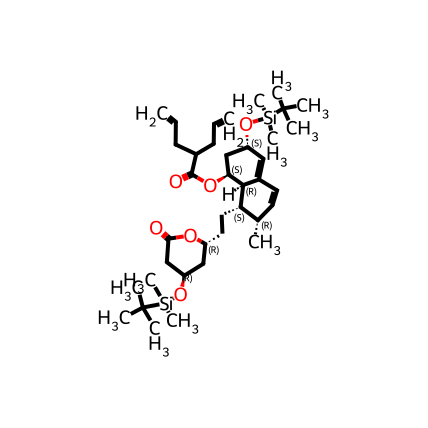 C=CCC(CC=C)C(=O)O[C@H]1C[C@H](O[Si](C)(C)C(C)(C)C)C=C2C=C[C@H](C)[C@H](CC[C@@H]3C[C@@H](O[Si](C)(C)C(C)(C)C)CC(=O)O3)[C@H]21